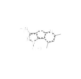 Cc1cc(C)c2c(n1)sc1c(N)nn(C(=O)O)c12